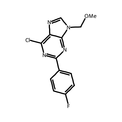 COCn1cnc2c(Cl)nc(-c3ccc(F)cc3)nc21